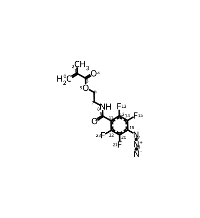 C=C(C)C(=O)OCCNC(=O)c1c(F)c(F)c(N=[N+]=[N-])c(F)c1F